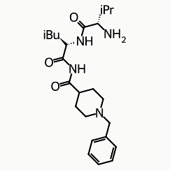 CC[C@H](C)[C@H](NC(=O)[C@@H](N)C(C)C)C(=O)NC(=O)C1CCN(Cc2ccccc2)CC1